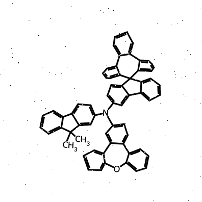 CC1(C)c2ccccc2-c2ccc(N(c3ccc4c(c3)-c3ccccc3Oc3ccccc3-4)c3ccc4c(c3)-c3ccccc3C43c4ccccc4-c4ccccc4-c4ccccc43)cc21